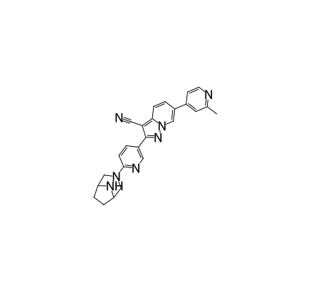 Cc1cc(-c2ccc3c(C#N)c(-c4ccc(N5CC6CCC(C5)N6)nc4)nn3c2)ccn1